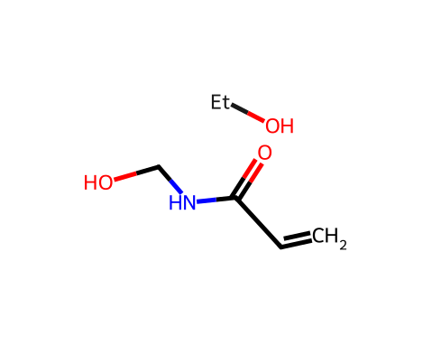 C=CC(=O)NCO.CCO